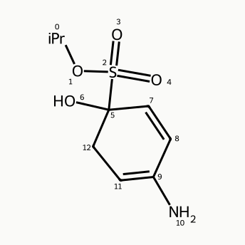 CC(C)OS(=O)(=O)C1(O)C=CC(N)=CC1